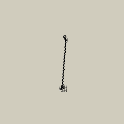 O=C=NCCCCCCCCCCCCCCCCCCCCCCCCCCCCCCCNC(=S)S